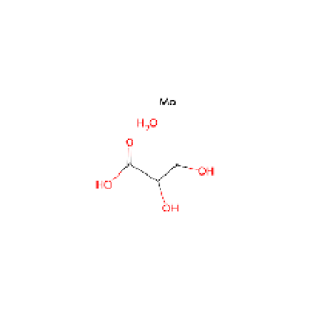 O.O=C(O)C(O)CO.[Mo]